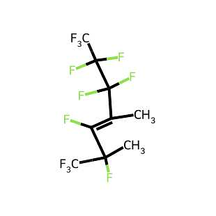 CC(=C(F)C(C)(F)C(F)(F)F)C(F)(F)C(F)(F)C(F)(F)F